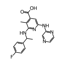 Cc1c(C(=O)O)cc(Nc2cnccn2)nc1NC(C)c1ccc(F)cc1